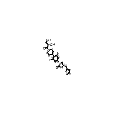 O=C([C@@H](O)CO)N1CC=C(c2c(F)cc(N3CC(Cn4ccnn4)OC3=O)cc2F)CC1